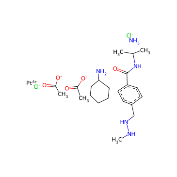 CC(=O)[O-].CC(=O)[O-].CNNCc1ccc(C(=O)NC(C)C)cc1.N.NC1CCCCC1.[Cl-].[Cl-].[Pt+4]